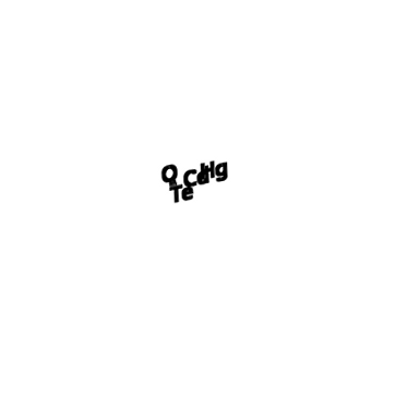 O=[Te].[Cd].[Hg]